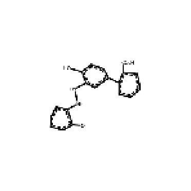 O=C(O)c1ccccc1-c1ccc(O)c(NNc2ccccc2O)c1